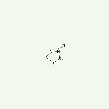 ClN1C=CCS1